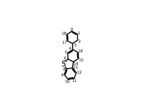 C1=CCC(C2=CC3Sc4ccccc4C3C=C2)C=C1